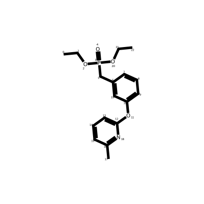 CCOP(=O)(Cc1cccc(Oc2cccc(C)n2)c1)OCC